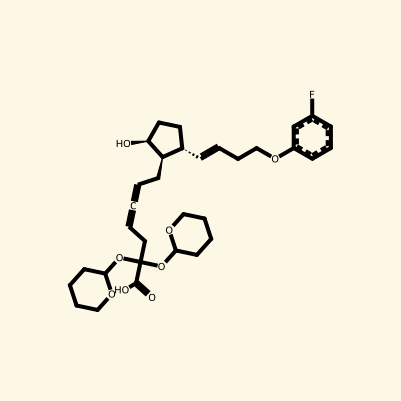 O=C(O)C(CC=C=CC[C@H]1[C@@H](O)CC[C@@H]1/C=C/CCOc1cccc(F)c1)(OC1CCCCO1)OC1CCCCO1